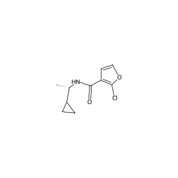 C[C@H](NC(=O)c1ccoc1Cl)C1CC1